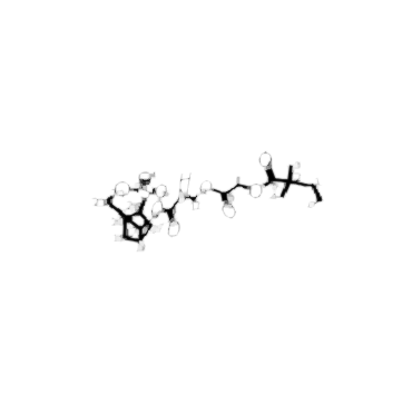 CCC(C)(C)C(=O)OCC(=O)OCNC(=O)OC1C2CC3C1OS(=O)(=O)C3C2